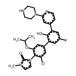 CC(C)Oc1cc(-c2cc(F)cc(-c3ccnc(N4CCNCC4)c3)c2O)cc(Cl)c1-n1ccn(C)c1=O